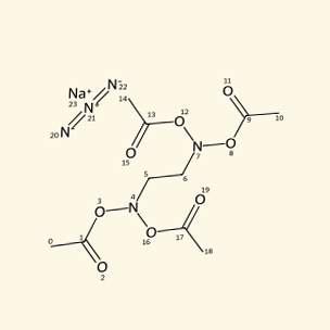 CC(=O)ON(CCN(OC(C)=O)OC(C)=O)OC(C)=O.[N-]=[N+]=[N-].[Na+]